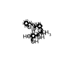 CC(C)(Cc1cccc(C(=O)NCCc2ccccc2Cl)c1)NC[C@@H](O)c1ccc(O)c(CO)c1